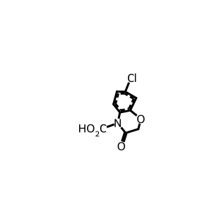 O=C(O)N1C(=O)COc2cc(Cl)ccc21